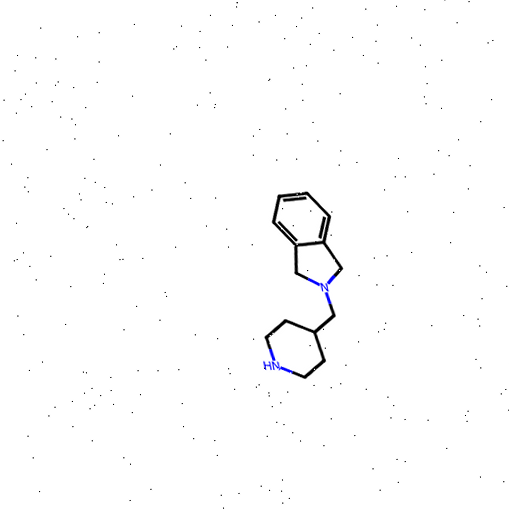 c1ccc2c(c1)CN(CC1CCNCC1)C2